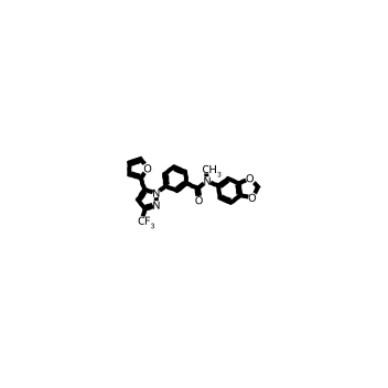 CN(C(=O)c1cccc(-n2nc(C(F)(F)F)cc2-c2ccco2)c1)c1ccc2c(c1)OCO2